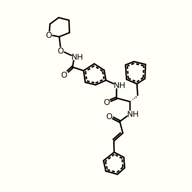 O=C(C=Cc1ccccc1)N[C@@H](Cc1ccccc1)C(=O)Nc1ccc(C(=O)NOC2CCCCO2)cc1